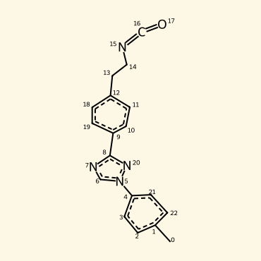 Cc1ccc(-n2cnc(-c3ccc(CCN=C=O)cc3)n2)cc1